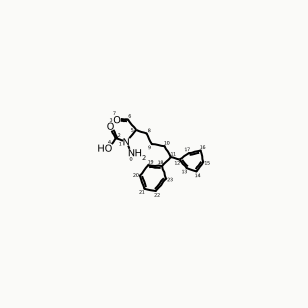 NN(C(=O)O)C(C=O)CCCC(c1ccccc1)c1ccccc1